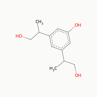 CC(CO)c1cc(O)cc(C(C)CO)c1